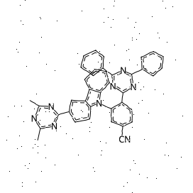 Cc1nc(C)nc(-c2ccc3c(c2)c2ccccc2n3-c2cc(C#N)ccc2-c2nc(-c3ccccc3)nc(-c3ccccc3)n2)n1